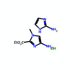 CCOC(=O)c1nc(N)cn1C.Cl.Nc1ncc[nH]1